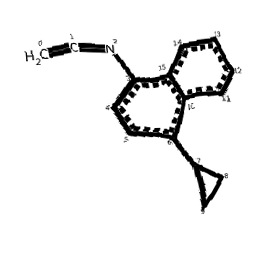 C=C=Nc1ccc(C2CC2)c2ccccc12